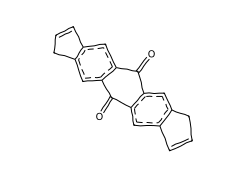 O=C1c2cc3c(cc2C(=O)c2cc4c(cc21)CC=C4)CC=C3